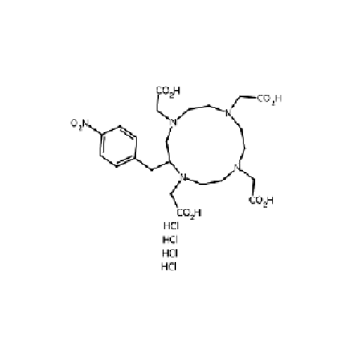 Cl.Cl.Cl.Cl.O=C(O)CN1CCN(CC(=O)O)CCN(CC(=O)O)C(Cc2ccc([N+](=O)[O-])cc2)CN(CC(=O)O)CC1